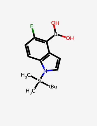 CC(C)(C)[Si](C)(C)n1ccc2c(B(O)O)c(F)ccc21